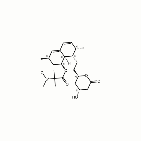 C[C@H]1C=C2C=C[C@H](C)[C@H](CC[C@@H]3C[C@@H](O)CC(=O)O3)[C@H]2[C@@H](OC(=O)C(C)(C)[S+](C)[O-])C1